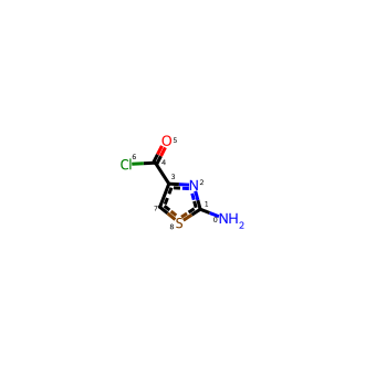 Nc1nc(C(=O)Cl)cs1